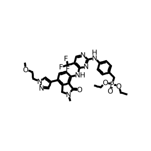 CCOP(=O)(Cc1ccc(Nc2ncc(C(F)(F)F)c(Nc3ccc(-c4cnn(CCOC)c4)c4c3C(=O)N(C)C4)n2)cc1)OCC